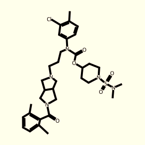 Cc1ccc(N(CCCN2CC3CN(C(=O)c4c(C)cccc4C)CC3C2)C(=O)OC2CCN(S(=O)(=O)N(C)C)CC2)cc1Cl